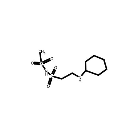 CS(=O)(=O)NS(=O)(=O)CCNC1CCCCC1